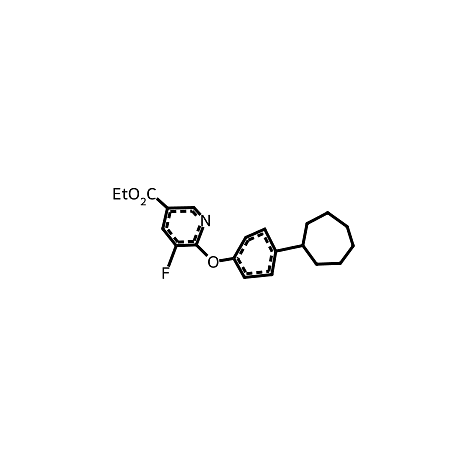 CCOC(=O)c1cnc(Oc2ccc(C3CCCCCC3)cc2)c(F)c1